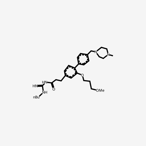 CCCCNC(=N)NC(=O)CCc1ccc(-c2ccc(CN3CCN(C)CC3)cc2)c(OCCCOC)c1